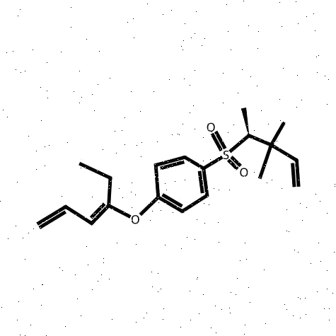 C=C/C=C(\CC)Oc1ccc(S(=O)(=O)[C@@H](C)C(C)(C)C=C)cc1